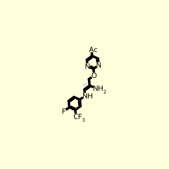 CC(=O)c1cnc(OC/C(N)=C/Nc2ccc(F)c(C(F)(F)F)c2)nc1